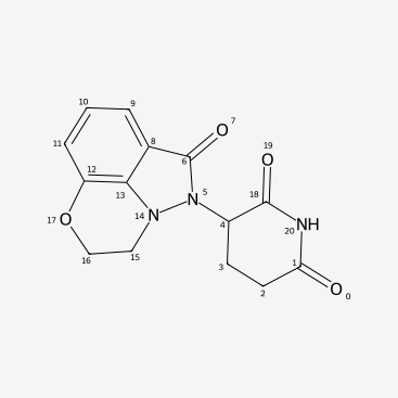 O=C1CCC(n2c(=O)c3cccc4c3n2CCO4)C(=O)N1